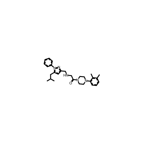 Cc1cccc(N2CCN(C(=O)CNCc3cc(CC(C)C)n(-c4ccccc4)n3)CC2)c1C